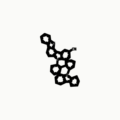 N#Cc1ccc2c(c1)c1c3sc4ccccc4c3ccc1n2-c1ccccc1-c1ccccc1-n1c2ccccc2c2ccccc21